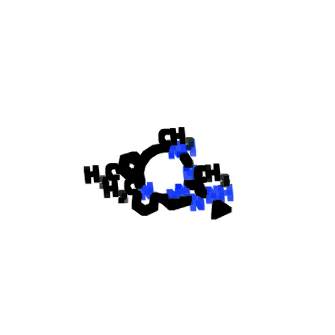 C=C1CCc2ccc(C)cc2C(=C)N2CCCCC2c2cc3nc(NC4CC4)cc(n3n2)N(C)CCN1